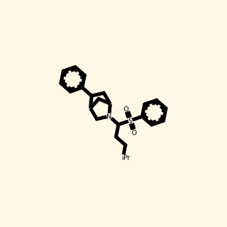 CC(C)CCC(N1CC2CC1CC2c1ccccc1)S(=O)(=O)c1ccccc1